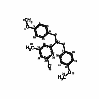 COc1ccc(CN(Cc2ccc(OC)cc2)c2cc(C)cc(Cl)n2)cc1